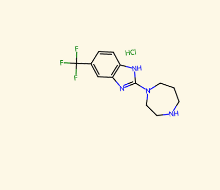 Cl.FC(F)(F)c1ccc2[nH]c(N3CCCNCC3)nc2c1